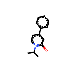 CC(C)n1ccc(-c2ccccc2)cc1=O